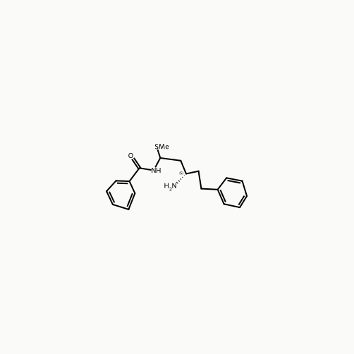 CSC(C[C@@H](N)CCc1ccccc1)NC(=O)c1ccccc1